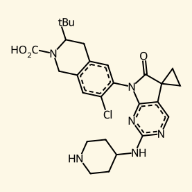 CC(C)(C)C1Cc2cc(N3C(=O)C4(CC4)c4cnc(NC5CCNCC5)nc43)c(Cl)cc2CN1C(=O)O